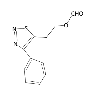 O=COCCc1snnc1-c1ccccc1